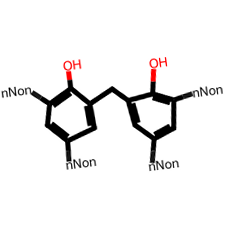 CCCCCCCCCc1cc(CCCCCCCCC)c(O)c(Cc2cc(CCCCCCCCC)cc(CCCCCCCCC)c2O)c1